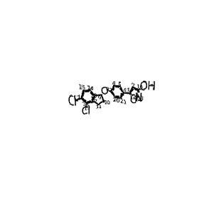 Oc1cc(-c2ccc(OC3CCc4c3ccc(Cl)c4Cl)cc2)on1